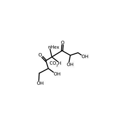 CCCCCCC(C(=O)O)(C(=O)C(O)CO)C(=O)C(O)CO